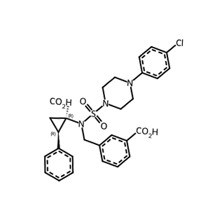 O=C(O)c1cccc(CN([C@]2(C(=O)O)C[C@@H]2c2ccccc2)S(=O)(=O)N2CCN(c3ccc(Cl)cc3)CC2)c1